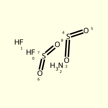 F.F.N.O=S=O.O=S=O